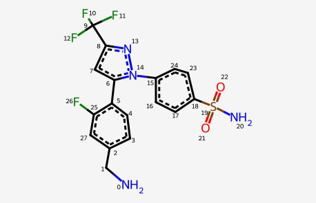 NCc1ccc(-c2cc(C(F)(F)F)nn2-c2ccc(S(N)(=O)=O)cc2)c(F)c1